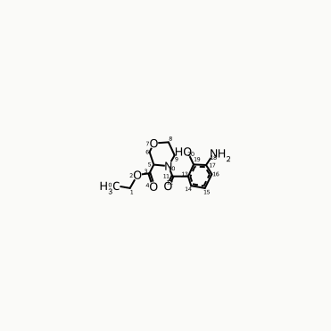 CCOC(=O)C1COCCN1C(=O)c1cccc(N)c1O